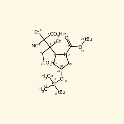 CCC(C#N)(C(=O)O)C(CC)(CC(=O)O)C1C[C@@H](O[Si](C)(C)C(C)(C)C)CN1C(=O)OC(C)(C)C